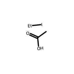 CC(=O)O.CCI